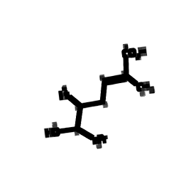 CCCC(O)C(CC)CC=C(C)C(=O)O